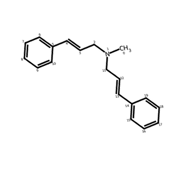 CN(CC=Cc1ccccc1)CC=Cc1ccccc1